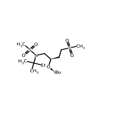 CC[C@H](C)O[C@H](CCS(C)(=O)=O)CN(C(C)(C)CC)S(C)(=O)=O